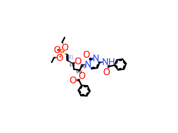 CCOP(=O)(/C=C/[C@@H]1C[C@@H](OC(=O)c2ccccc2)[C@H](n2ccc(NC(=O)c3ccccc3)nc2=O)O1)OCC